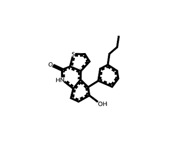 CCCc1cccc(-c2c(O)ccc3[nH]c(=O)c4sccc4c23)c1